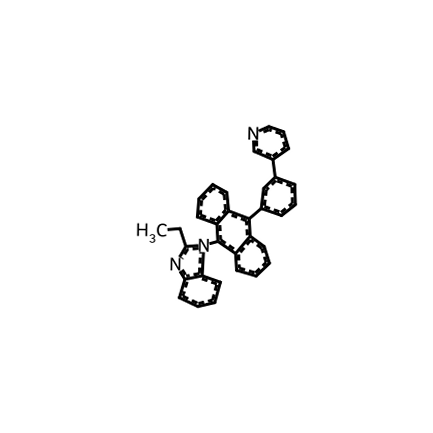 CCc1nc2ccccc2n1-c1c2ccccc2c(-c2cccc(-c3cccnc3)c2)c2ccccc12